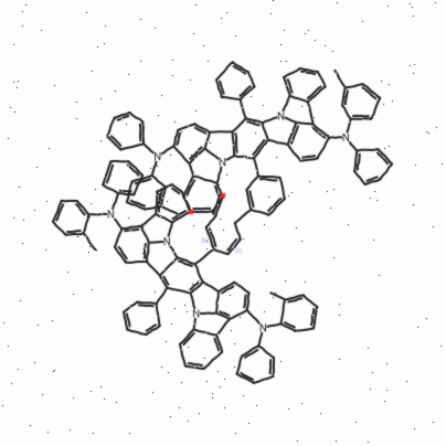 C=C/C=C(\C=C/Cc1cccc(-c2c3c4ccc(N(c5ccccc5)c5cccc(C)c5)c5c6ccccc6n(c3c(-c3ccccc3)c3c6ccc(N(c7ccccc7)c7cccc(C)c7)c7c8ccccc8n(c23)c67)c45)c1)c1c2c3ccc(N(c4ccccc4)c4ccccc4C)c4c5ccccc5n(c2c(-c2ccccc2)c2c5ccc(N(c6ccccc6)c6ccccc6C)c6c7ccccc7n(c12)c56)c34